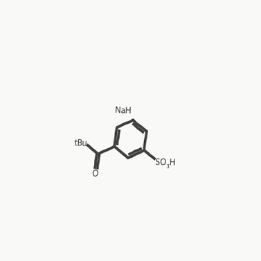 CC(C)(C)C(=O)c1cccc(S(=O)(=O)O)c1.[NaH]